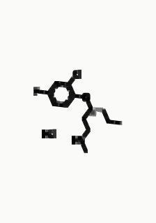 CCC[C@H](CCNC)Oc1ccc(F)cc1Cl.Cl